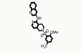 COc1ccc(C)cc1S(=O)(=O)N1CCc2c(ccnc2Nc2cnc3ccccc3c2)C1